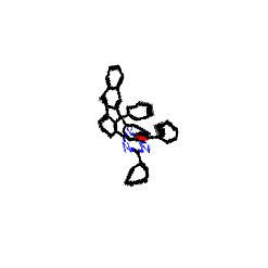 c1ccc(-c2nc(-c3ccccc3)nc(-c3cccc4c3C(c3ccccc3)(c3ccccc3)c3cc5ccccc5cc3-4)n2)cc1